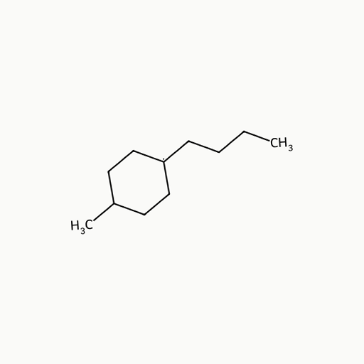 CCCC[C]1CCC(C)CC1